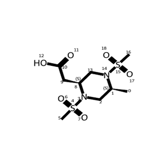 C[C@H]1CN(S(C)(=O)=O)[C@@H](CC(=O)O)CN1S(C)(=O)=O